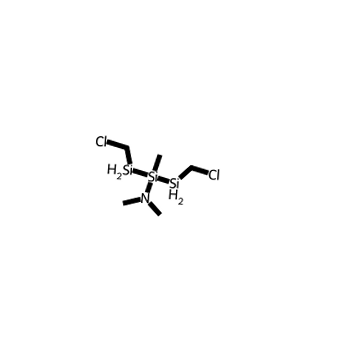 CN(C)[Si](C)([SiH2]CCl)[SiH2]CCl